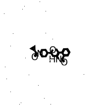 O=C(C1CC1)N1CCC(C2Cc3[nH]c(=O)c4ccccc4c3CO2)CC1